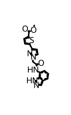 COC(=O)c1ccc(-c2ccn(CC(=O)Nc3cccc4cn[nH]c34)n2)s1